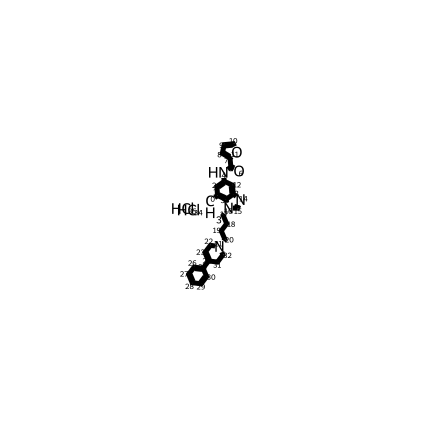 Cc1cc(NC(=O)c2ccco2)cc2ncn(CCCCN3CC=C(c4ccccc4)CC3)c12.Cl.Cl